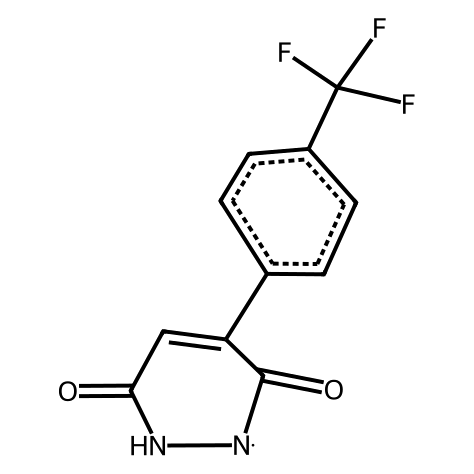 O=C1C=C(c2ccc(C(F)(F)F)cc2)C(=O)[N]N1